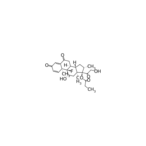 CCC(=O)O[C@]1(C(=O)CO)[C@@H](C)C[C@H]2[C@@H]3CC(=O)C4=CC(=O)C=C[C@]4(C)[C@@]3(F)[C@@H](O)C[C@@]21C